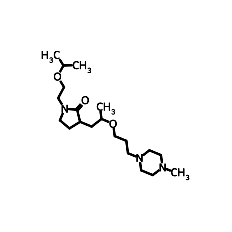 CC(C)OCCN1CCC(CC(C)OCCCN2CCN(C)CC2)C1=O